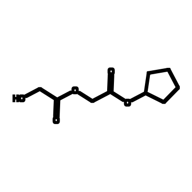 O=C(CO)OCC(=O)OC1CCCC1